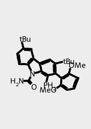 COc1cccc(OC)c1-c1c(C(C)(C)C)cc2c3cc(C(C)(C)C)ccc3n(C(N)=O)c2c1P